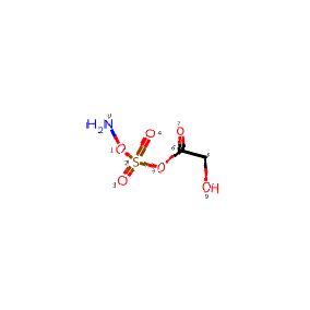 NOS(=O)(=O)OC(=O)CO